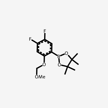 COCOc1cc(F)c(F)cc1B1OC(C)(C)C(C)(C)O1